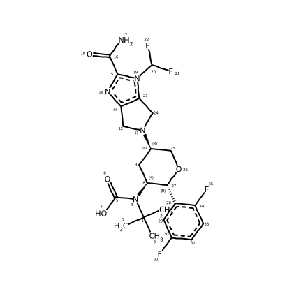 CC(C)(C)N(C(=O)O)[C@H]1C[C@@H](N2Cc3nc(C(N)=O)n(C(F)F)c3C2)CO[C@@H]1c1cc(F)ccc1F